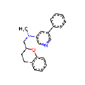 CN(CC1CCc2ccccc2O1)c1cncc(-c2ccccc2)c1